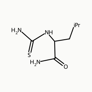 CC(C)CC(NC(N)=S)C(N)=O